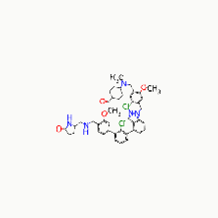 COc1cc(-c2cccc(-c3cccc4c3cnn4Cc3cc(OC)c(CN(C)C4CCC(C=O)CC4)cc3Cl)c2Cl)ccc1CNCC1CCC(=O)N1